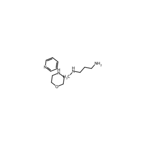 C1COCCN1.CNCCCN.c1ccncc1